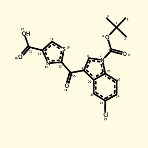 CC(C)(C)OC(=O)n1cc(C(=O)c2nc(C(=O)O)cs2)c2cc(Cl)ccc21